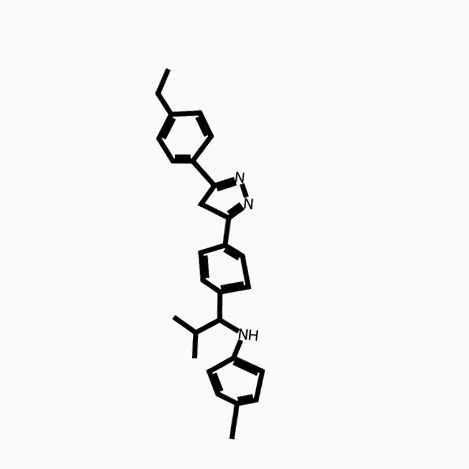 CCc1ccc(C2=NN=C(c3ccc(C(Nc4ccc(C)cc4)C(C)C)cc3)C2)cc1